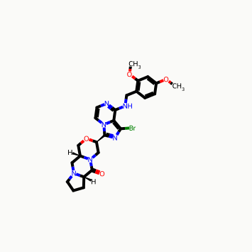 COc1ccc(CNc2nccn3c([C@H]4CN5C(=O)[C@@H]6CCCN6C[C@@H]5CO4)nc(Br)c23)c(OC)c1